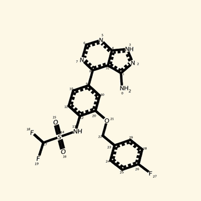 Nc1n[nH]c2ncnc(-c3ccc(NS(=O)(=O)C(F)F)c(OCc4ccc(F)cc4)c3)c12